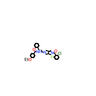 CCOc1ccc(C(=O)N[C@@H](CCN2CC3=CN(C(=O)c4c(F)cccc4Cl)CC3C2)c2ccccc2)cc1